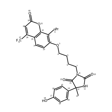 CCCc1c(OCCCCN2C(=O)NC(C)(c3ccc(O)cc3)C2=O)ccc2c(C(F)(F)F)cc(=O)oc12